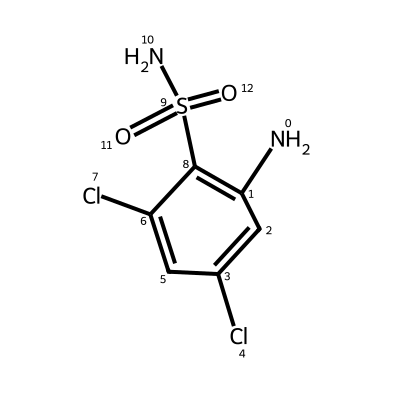 Nc1cc(Cl)cc(Cl)c1S(N)(=O)=O